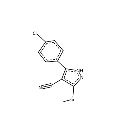 CSc1n[nH]c(-c2ccc(Cl)cc2)c1C#N